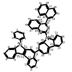 c1ccc(-n2c3ccccc3c3c4ccccc4c(-c4ccc5c6ccccc6n(-c6nc(-c7cccc8ccccc78)c7ccccc7n6)c5c4)cc32)cc1